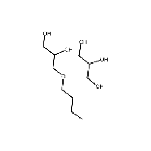 CCCCOCC(O)CO.OCC(O)CO